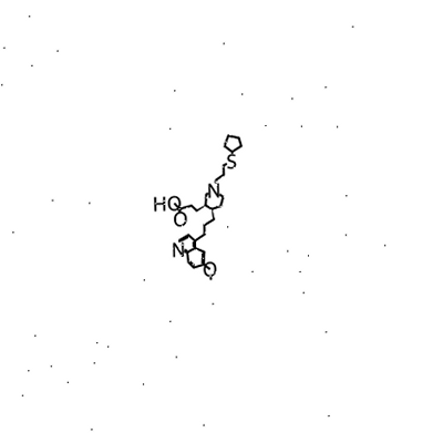 COc1ccc2nccc(CCC[C@@H]3CCN(CCCSC4CCCC4)C[C@@H]3CCC(=O)O)c2c1